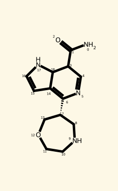 NC(=O)C1C=NC([C@@H]2CNCCOC2)=C2C=CNC21